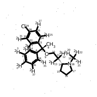 [2H]c1c([2H])c([2H])c([C@@](C)(OCC([2H])([2H])[C@H]2CCCN2C([2H])([2H])[2H])c2c([2H])c([2H])c(Cl)c([2H])c2[2H])c([2H])c1[2H]